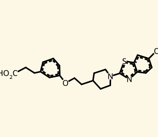 O=C(O)CCc1cccc(OCCC2CCN(c3nc4ccc(Cl)cc4s3)CC2)c1